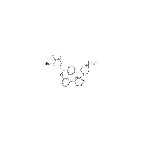 CN(CCC(Oc1cccc(-c2ccnc(N3CCN(C(=O)O)CC3)n2)c1)c1ccccc1)C(=O)OC(C)(C)C